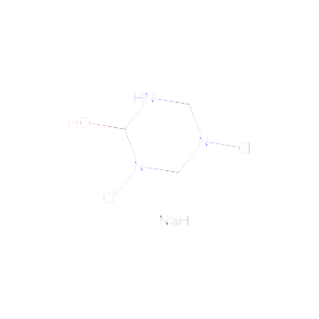 OC1NCN(Cl)CN1Cl.[NaH]